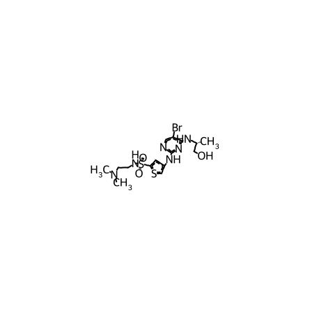 C[C@H](CO)Nc1nc(Nc2csc(S(=O)(=O)NCCN(C)C)c2)ncc1Br